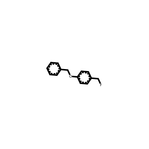 FCc1ccc(OCc2ccccc2)cc1